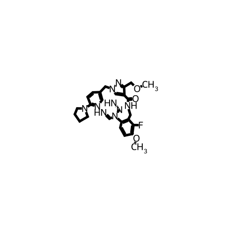 COCc1nn(Cc2ccc(N3CCCC3)nc2)cc1C(=O)NCc1c(N(C=N)N=N)ccc(OC)c1F